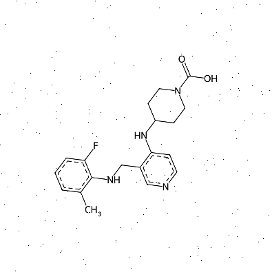 Cc1cccc(F)c1NCc1cnccc1NC1CCN(C(=O)O)CC1